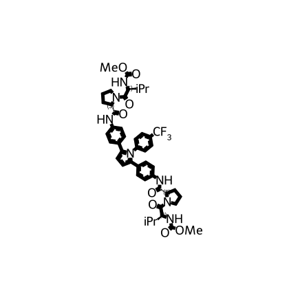 COC(=O)N[C@H](C(=O)N1CCC[C@H]1C(=O)Nc1ccc(-c2ccc(-c3ccc(NC(=O)[C@@H]4CCCN4C(=O)[C@@H](NC(=O)OC)C(C)C)cc3)n2-c2ccc(C(F)(F)F)cc2)cc1)C(C)C